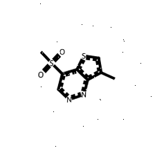 Cc1csc2c(S(C)(=O)=O)cnnc12